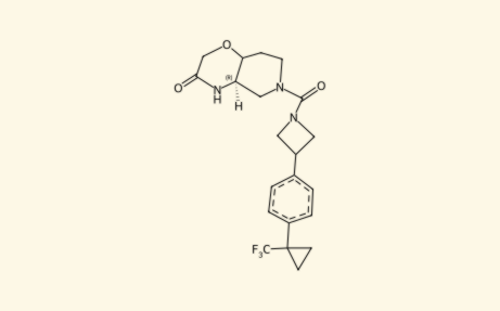 O=C1COC2CCN(C(=O)N3CC(c4ccc(C5(C(F)(F)F)CC5)cc4)C3)C[C@H]2N1